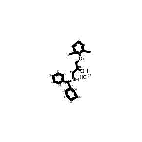 Cc1cccc(C)c1OCC(O)CNC(c1ccccc1)c1ccccc1.Cl